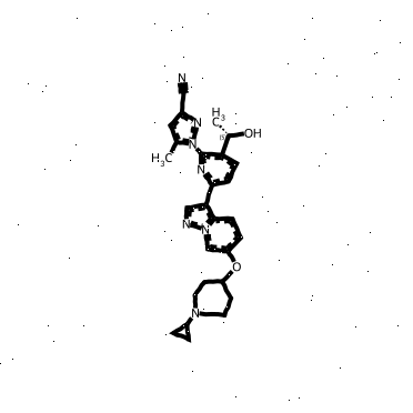 Cc1cc(C#N)nn1-c1nc(-c2cnn3cc(OC4CCN(C5CC5)CC4)ccc23)ccc1[C@H](C)O